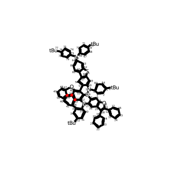 CC(C)(C)c1ccc(N2B3c4cc5oc(-c6ccccc6)c(-c6ccccc6)c5cc4N(c4ccc(C(C)(C)C)cc4-c4ccccc4)c4cc5c(oc6ccccc65)c(c43)-c3cc4c(cc32)sc2cc(N(c3ccc(C(C)(C)C)cc3)c3ccc(C(C)(C)C)cc3)ccc24)cc1